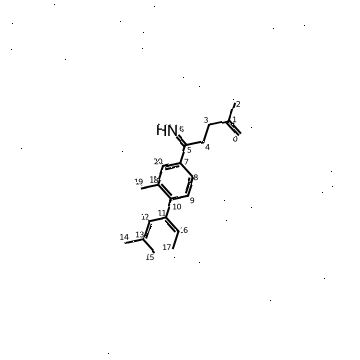 C=C(C)CCC(=N)c1ccc(/C(C=C(C)C)=C/C)c(C)c1